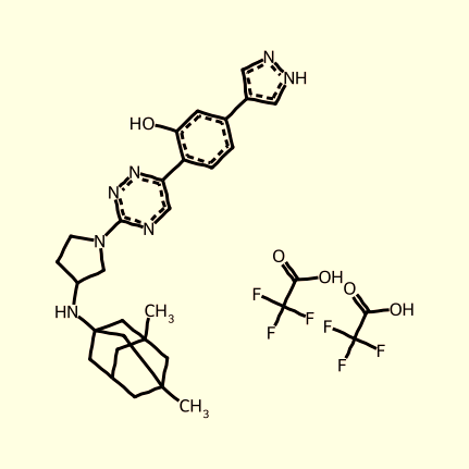 CC12CC3CC(C)(C1)CC(NC1CCN(c4ncc(-c5ccc(-c6cn[nH]c6)cc5O)nn4)C1)(C3)C2.O=C(O)C(F)(F)F.O=C(O)C(F)(F)F